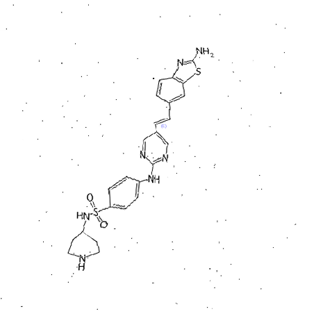 Nc1nc2ccc(/C=C/c3cnc(Nc4ccc(S(=O)(=O)NC5CCNCC5)cc4)nc3)cc2s1